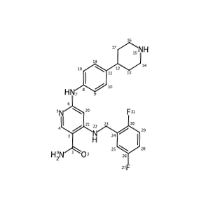 NC(=O)c1cnc(Nc2ccc(C3CCNCC3)cc2)cc1NCc1cc(F)ccc1F